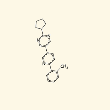 Cc1ccccc1-c1ccc(-c2cnc(C3CCCC3)nc2)cn1